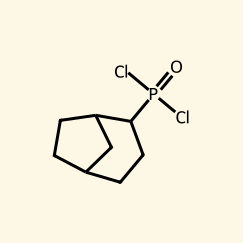 O=P(Cl)(Cl)C1CCC2CCC1C2